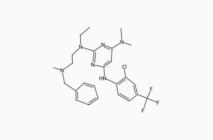 CCN(CCN(C)Cc1ccccc1)c1nc(Nc2ccc(C(F)(F)F)cc2Cl)cc(N(C)C)n1